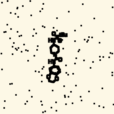 CC(C)(C)S(=O)(=O)NC1CCN(C(=O)Nc2ccc3c(c2)OCCO3)CC1